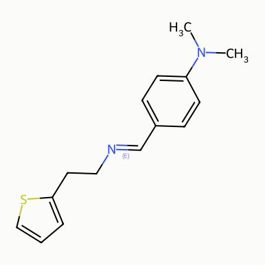 CN(C)c1ccc(/C=N/CCc2cccs2)cc1